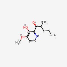 CCCC(C)C(=O)c1nccc(OC)c1O